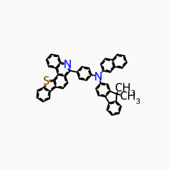 CC1(C)c2ccccc2-c2ccc(N(c3ccc(-c4nc5ccccc5c5c4ccc4c6ccccc6sc45)cc3)c3ccc4ccccc4c3)cc21